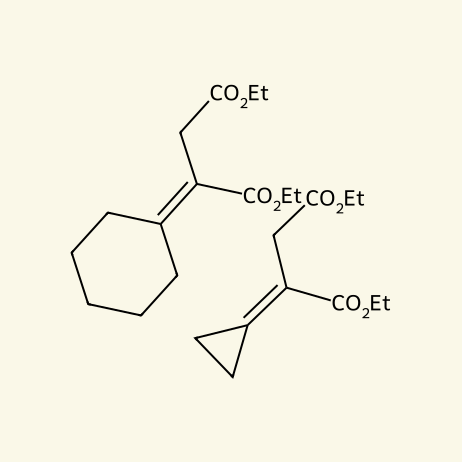 CCOC(=O)CC(C(=O)OCC)=C1CC1.CCOC(=O)CC(C(=O)OCC)=C1CCCCC1